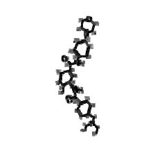 CCN(CC)Cc1ccc(C(=O)Nc2cc(C(=O)Nc3ccc(N4CCOCC4)cc3)ccc2C)cc1